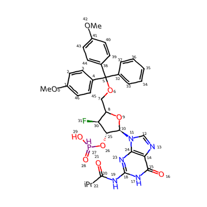 COc1ccc(C(OCC2O[C@@H](n3cnc4c(=O)[nH]c(NC(=O)C(C)C)nc43)[C@H](O[PH](=O)O)[C@H]2F)(c2ccccc2)c2ccc(OC)cc2)cc1